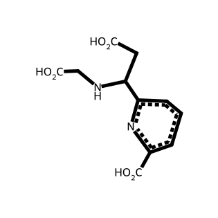 O=C(O)CNC(CC(=O)O)c1cccc(C(=O)O)n1